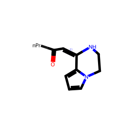 CCCC(=O)/C=C1/NCCn2cccc21